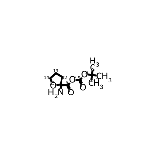 CC(C)(C)OC(=O)OC(=O)C1(N)CCCO1